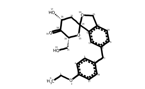 CCOc1ccc(Cc2ccc3c(c2)C2(C[C@@H](O)C(=O)[C@@H](CO)O2)OC3)cc1